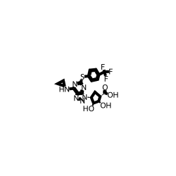 O=C(O)[C@H]1C[C@@H](n2nnc3c(NC4CC4)nc(Sc4ccc(C(F)(F)F)cc4)nc32)[C@H](O)[C@@H]1O